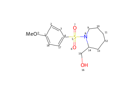 COc1ccc(S(=O)(=O)N2CCCCCC2CO)cc1